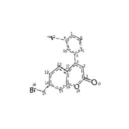 O=c1cc(-c2cccc(F)c2)c2ccc(CBr)cc2o1